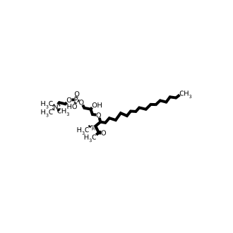 CCCCCCCCCCCCCCCCC(OCC(O)COP(=O)(O)OCC[N+](C)(C)C)[C@@H](CC)C(C)=O